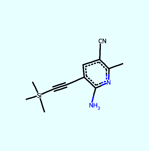 Cc1nc(N)c(C#C[Si](C)(C)C)cc1C#N